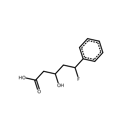 O=C(O)CC(O)CC(F)c1ccccc1